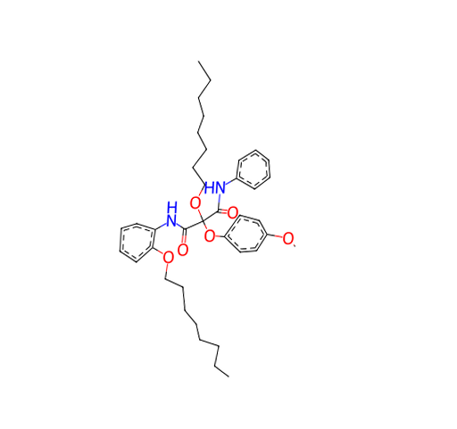 CCCCCCCCOc1ccccc1NC(=O)C(OCCCCCCCC)(Oc1ccc(OC)cc1)C(=O)Nc1ccccc1